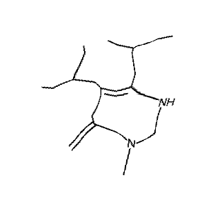 C=C1C(C(C)C)=C(C(C)C)NCN1C